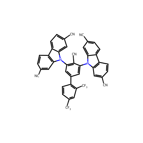 N#Cc1ccc2c3ccc(C#N)cc3n(-c3cc(-c4ccc(C(F)(F)F)cc4C(F)(F)F)cc(-n4c5cc(C#N)ccc5c5ccc(C#N)cc54)c3C#N)c2c1